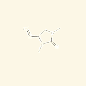 CN1CC(N=N)N(C)C1=O